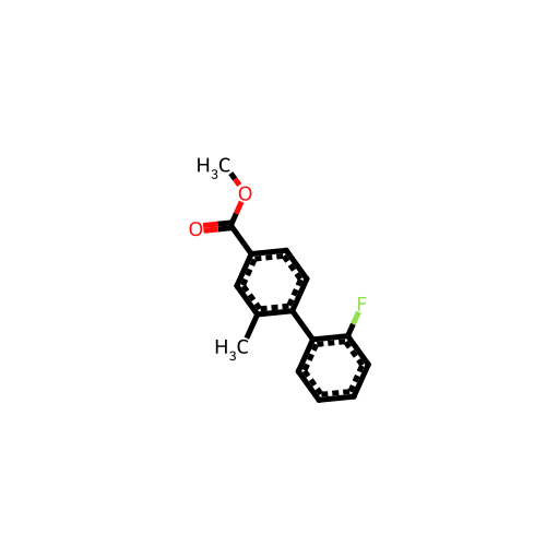 COC(=O)c1ccc(-c2ccccc2F)c(C)c1